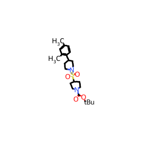 Cc1ccc(C2CCN(S(=O)(=O)C3CCN(C(=O)OC(C)(C)C)CC3)CC2)c(C)c1